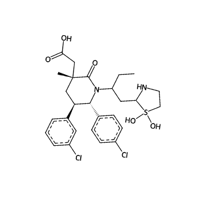 CCC(CC1NCCS1(O)O)N1C(=O)[C@@](C)(CC(=O)O)C[C@H](c2cccc(Cl)c2)[C@H]1c1ccc(Cl)cc1